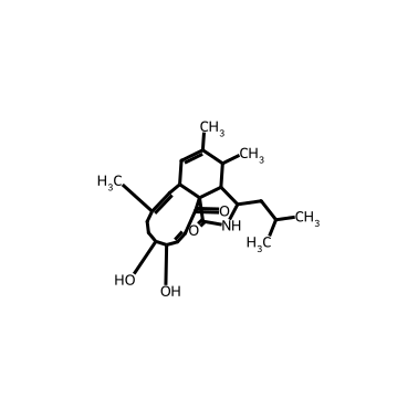 CC1=CC2C=C(C)C(C)C3C(CC(C)C)NC(=O)C23C(=O)C=CC(O)C(O)CC1